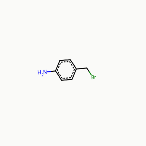 Nc1ccc(CBr)cc1